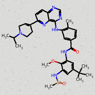 COc1c(NC(=O)c2ccc(C)c(Nc3ncnc4ccc(C5=CCN(C(C)C)CC5)nc34)c2)cc(C(C)(C)C)cc1N[S+](C)[O-]